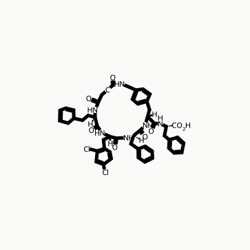 O=C1CCC(=O)N[C@H](CCC2C=CC=CC2)C(=O)N[C@@H](Cc2ccc(Cl)cc2Cl)C(=O)N[C@H](Cc2ccccc2)C(=O)N[C@@H](C(=O)N[C@@H](Cc2ccccc2)C(=O)O)Cc2ccc(cc2)N1